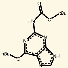 CCCCOc1nc(NC(=O)OC(C)(C)C)nc2[nH]cnc12